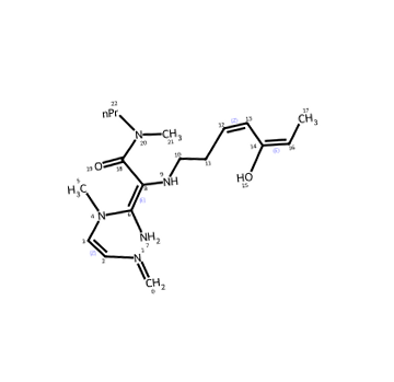 C=N/C=C\N(C)/C(N)=C(/NCC/C=C\C(O)=C/C)C(=O)N(C)CCC